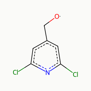 [O]Cc1cc(Cl)nc(Cl)c1